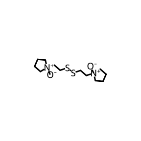 [O-][N+]1(CCSSCC[N+]2([O-])CCCC2)CCCC1